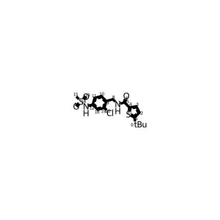 CC(C)(C)c1ccc(C(=O)NCc2ccc(NS(C)(=O)=O)cc2Cl)s1